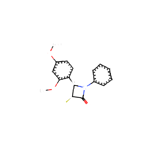 CCCCOc1ccc([C@@H]2[C@H](S)C(=O)N2c2ccccc2)c(OCCCC)c1